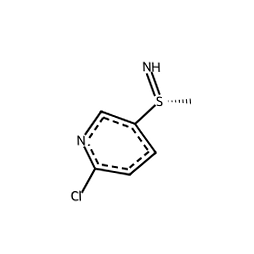 C[S@@](=N)c1ccc(Cl)nc1